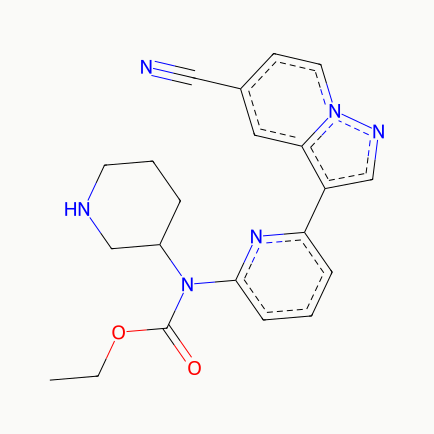 CCOC(=O)N(c1cccc(-c2cnn3ccc(C#N)cc23)n1)C1CCCNC1